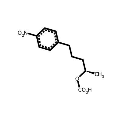 C[C@H](CCCc1ccc([N+](=O)[O-])cc1)OC(=O)O